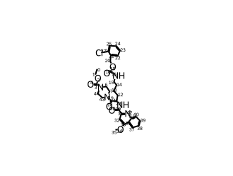 CCOC(=O)N1CCN(C(=O)C(CCCCNC(=O)OCc2ccccc2Cl)NC(=O)c2cc(OC)c3ccccc3n2)CC1